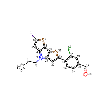 CCCn1c2cc(I)sc2c2sc(-c3ccc(C=O)cc3F)cc21